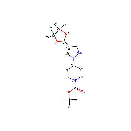 CC(C)(C)OC(=O)N1CCC(N2C=C(B3OC(C)(C)C(C)(C)O3)CN2)CC1